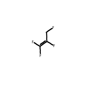 F[CH]C(F)=C(F)F